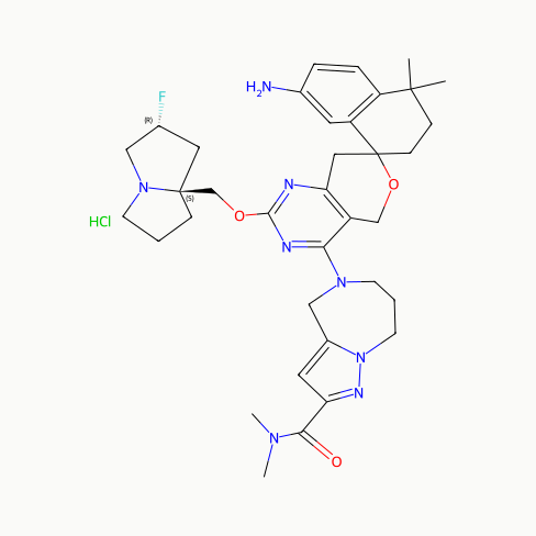 CN(C)C(=O)c1cc2n(n1)CCCN(c1nc(OC[C@@]34CCCN3C[C@H](F)C4)nc3c1COC1(CCC(C)(C)c4ccc(N)cc41)C3)C2.Cl